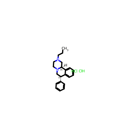 CCCN1CCN2C[C@@H](c3ccccc3)c3ccccc3[C@@H]2C1.Cl.Cl